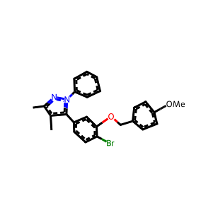 COc1ccc(COc2cc(-c3c(C)c(C)nn3-c3ccccc3)ccc2Br)cc1